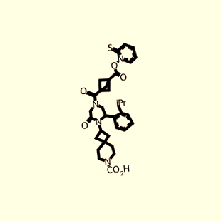 CC(C)c1ccccc1C1CN(C(=O)C23CC(C(=O)On4ccccc4=S)(C2)C3)CC(=O)N1C1CC2(CCN(C(=O)O)CC2)C1